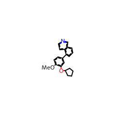 COc1ccc(-c2cccc3cnccc23)cc1OC1CCCC1